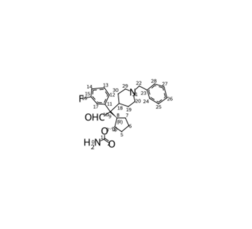 NC(=O)O[C@H]1CCC[C@@H]1C(C=O)(c1cccc(F)c1)C1CCN(Cc2ccccc2)CC1